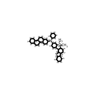 C[Si]1(C)c2cc(N(c3ccccc3)c3ccc4c(ccc5c6ccccc6ccc45)c3)ccc2-c2c1ccc1c2sc2ccccc21